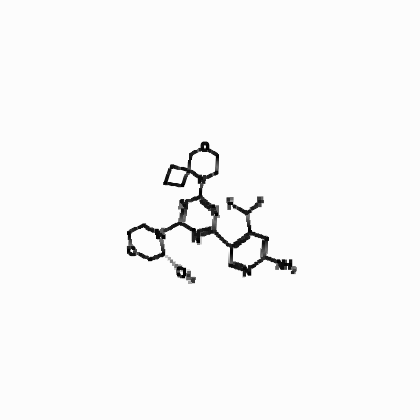 C[C@@H]1COCCN1c1nc(-c2cnc(N)cc2C(F)F)nc(N2CCOCC23CCC3)n1